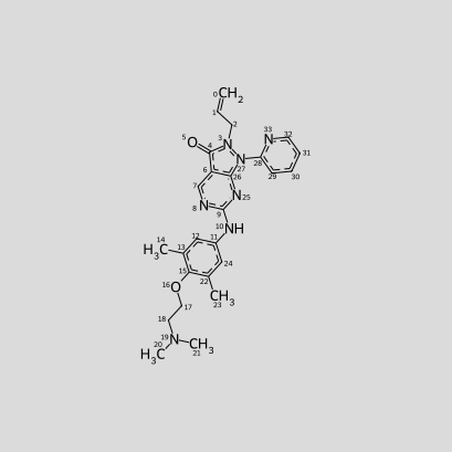 C=CCn1c(=O)c2cnc(Nc3cc(C)c(OCCN(C)C)c(C)c3)nc2n1-c1ccccn1